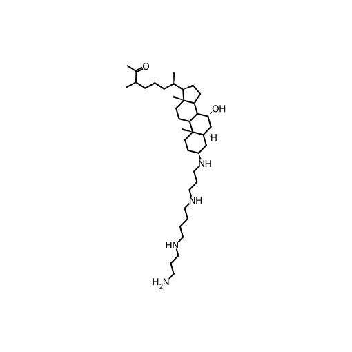 CC(=O)C(C)CCC[C@@H](C)[C@H]1CCC2C3C(CC[C@@]21C)[C@@]1(C)CC[C@H](NCCCNCCCCNCCCN)C[C@@H]1C[C@H]3O